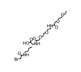 CCOCCOCC(=O)NCCOCCOCC(=O)N[C@H](CCCCNC(=O)CBr)C(=O)O